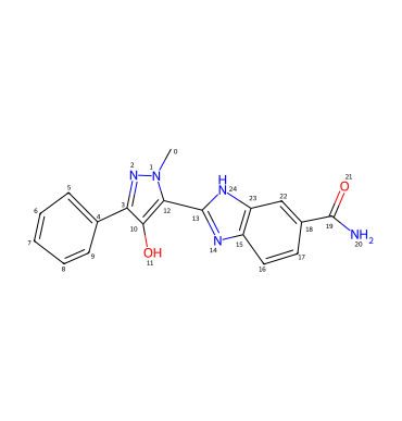 Cn1nc(-c2ccccc2)c(O)c1-c1nc2ccc(C(N)=O)cc2[nH]1